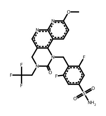 COc1ccc2c3c(cnc2n1)CN(CC(F)(F)F)C(=O)N3Cc1c(F)cc(S(N)(=O)=O)cc1F